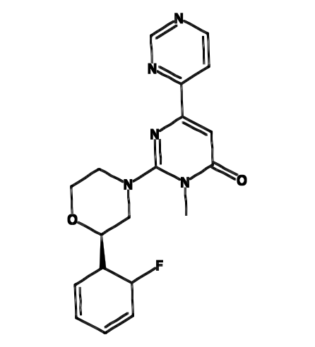 Cn1c(N2CCO[C@H](C3C=CC=CC3F)C2)nc(-c2ccncn2)cc1=O